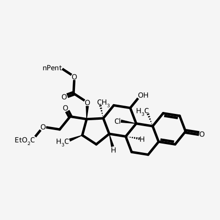 CCCCCOC(=O)O[C@]1(C(=O)COC(=O)OCC)[C@H](C)C[C@H]2[C@@H]3CCC4=CC(=O)C=C[C@]4(C)[C@@]3(Cl)C(O)C[C@@]21C